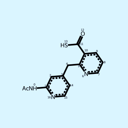 CC(=O)Nc1cc(Cc2ncccc2C(=O)S)ccn1